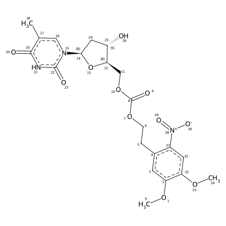 COc1cc(CCOC(=O)OC[C@H]2O[C@@H](n3cc(C)c(=O)[nH]c3=O)C[C@@H]2O)c([N+](=O)[O-])cc1OC